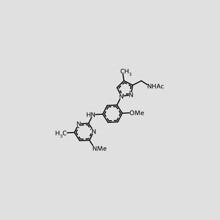 CNc1cc(C)nc(Nc2ccc(OC)c(-n3cc(C)c(CNC(C)=O)n3)c2)n1